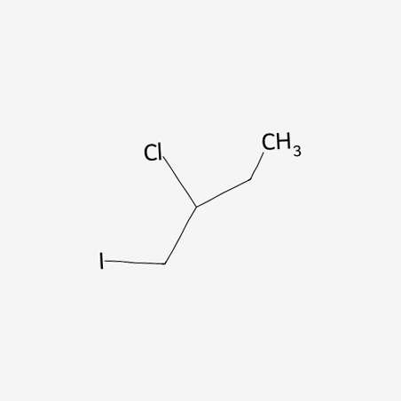 CCC(Cl)CI